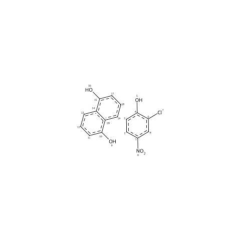 O=[N+]([O-])c1ccc(O)c(Cl)c1.Oc1cccc2c(O)cccc12